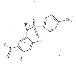 Cc1ccc(S(=O)(=O)N(N)c2cc([N+](=O)[O-])c(Cl)cc2Cl)cc1